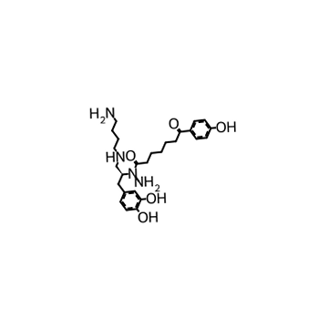 NCCCCNC[C@H](Cc1ccc(O)c(O)c1)N(N)C(=O)CCCCCC(=O)c1ccc(O)cc1